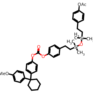 COc1ccc(C2(c3ccc(OC(=O)Oc4ccc(CC[Si](C)(C)O[Si](C)(C)CCc5ccc(OC(C)=O)cc5)cc4)cc3)CCCCC2)cc1